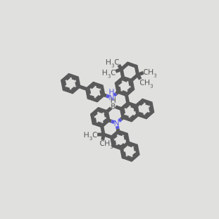 CC1(C)CCC(C)(C)c2cc(-c3c4c(cc5ccccc35)N3c5cc6ccccc6cc5C(C)(C)c5cccc(c53)B4)c(Nc3ccc(-c4ccccc4)cc3)cc21